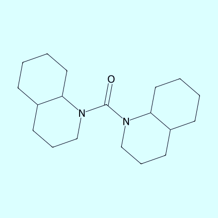 O=C(N1CCCC2CCCCC21)N1CCCC2CCCCC21